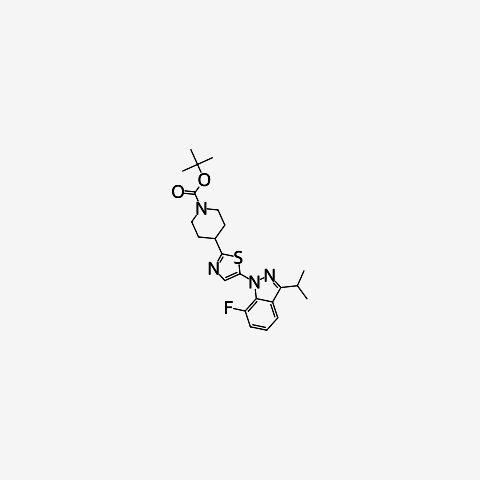 CC(C)c1nn(-c2cnc(C3CCN(C(=O)OC(C)(C)C)CC3)s2)c2c(F)cccc12